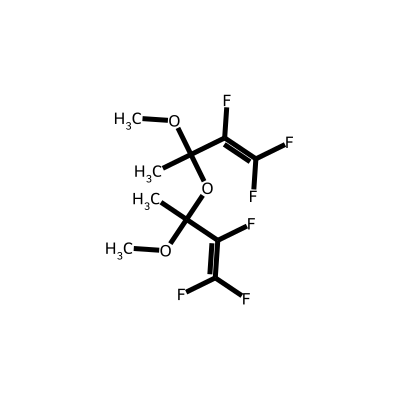 COC(C)(OC(C)(OC)C(F)=C(F)F)C(F)=C(F)F